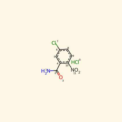 Cl.NC(=O)c1cc(Cl)ccc1[N+](=O)[O-]